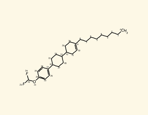 CCCCCCCCCC1=CCC(C2CCC(c3ccc(OC(F)F)cc3)CC2)CC1